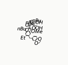 CCCCO[C@@H]1[C@@H](OCCCC)C(OC)(c2ccc(CC)c(Cc3ccc4c(c3)OCCO4)c2)OC(CO)(CO)[C@H]1OCCCC